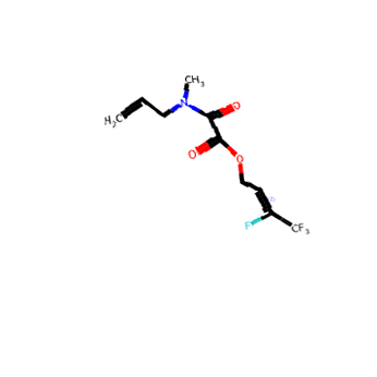 C=CCN(C)C(=O)C(=O)OC/C=C(\F)C(F)(F)F